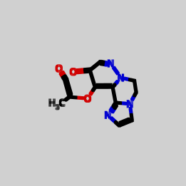 CC(=C=O)Oc1c2n(ncc1=O)CCn1ccnc1-2